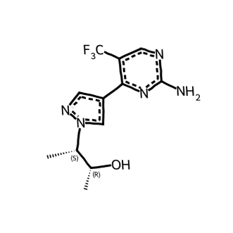 C[C@@H](O)[C@H](C)n1cc(-c2nc(N)ncc2C(F)(F)F)cn1